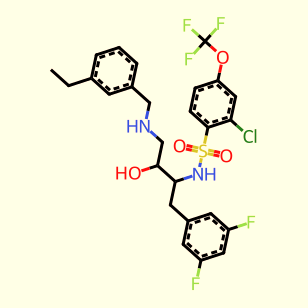 CCc1cccc(CNCC(O)C(Cc2cc(F)cc(F)c2)NS(=O)(=O)c2ccc(OC(F)(F)F)cc2Cl)c1